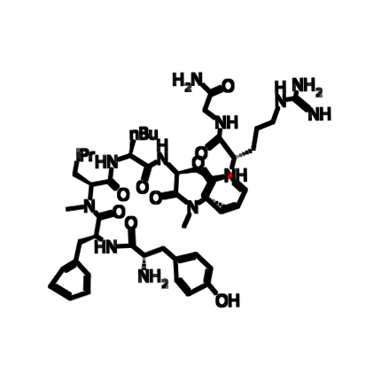 CCCC[C@H](NC(=O)[C@H](CC(C)C)N(C)C(=O)[C@H](Cc1ccccc1)NC(=O)[C@@H](N)Cc1ccc(O)cc1)C(=O)N[C@@H](Cc1ccccn1)C(=O)N(C)[C@@H](C)C(=O)N[C@@H](CCCNC(=N)N)C(=O)NCC(N)=O